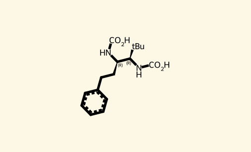 CC(C)(C)[C@@H](NC(=O)O)[C@@H](CCc1ccccc1)NC(=O)O